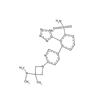 CN(C)C1(C)CN(c2ccc(-c3cccc(S(N)(=O)=O)c3-c3nnn[nH]3)cn2)C1